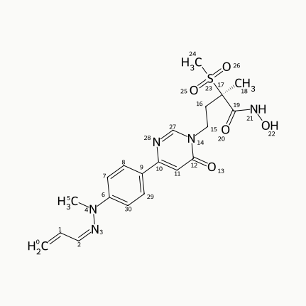 C=C/C=N\N(C)c1ccc(-c2cc(=O)n(CC[C@](C)(C(=O)NO)S(C)(=O)=O)cn2)cc1